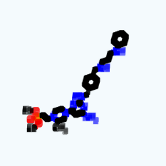 CCOP(=O)(CCN1CCN(c2cc(N)nc(NC[C@H]3CC[C@H](CNCCCNC4CCCCC4)CC3)n2)C[C@@H]1C)OCC